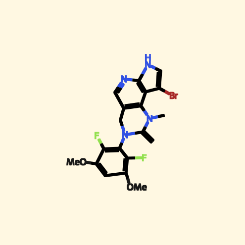 C=C1N(C)c2c(cnc3[nH]cc(Br)c23)CN1c1c(F)c(OC)cc(OC)c1F